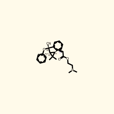 CN(C)CCOC(=O)/C=C\[C@H]1C(C)(C)[C@@]1(C(=O)O)[C@](C#N)(Oc1ccccc1)c1ccccc1